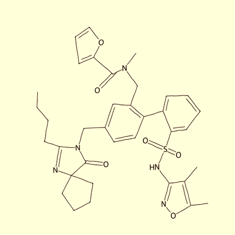 CCCCC1=NC2(CCCC2)C(=O)N1Cc1ccc(-c2ccccc2S(=O)(=O)Nc2noc(C)c2C)c(CN(C)C(=O)c2ccco2)c1